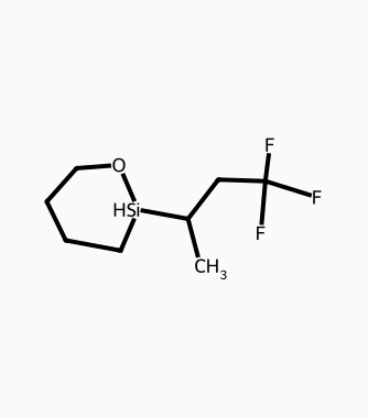 CC(CC(F)(F)F)[SiH]1CCCCO1